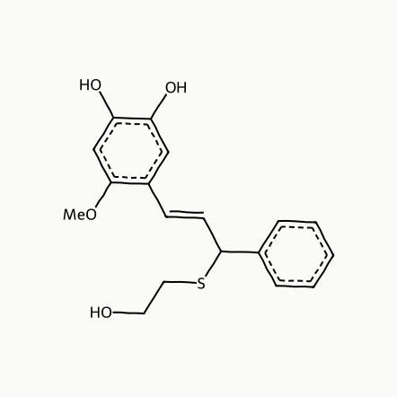 COc1cc(O)c(O)cc1C=CC(SCCO)c1ccccc1